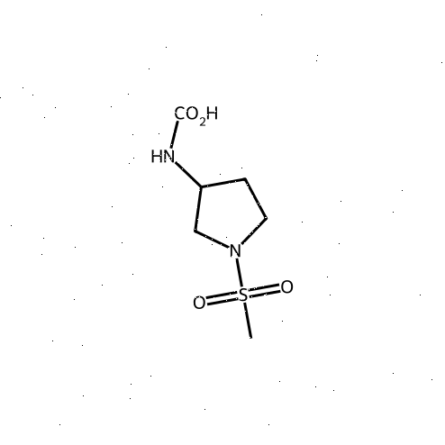 CS(=O)(=O)N1CCC(NC(=O)O)C1